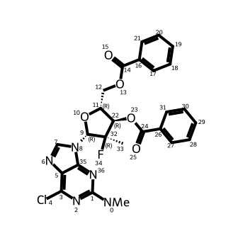 CNc1nc(Cl)c2ncn([C@@H]3O[C@H](COC(=O)c4ccccc4)[C@@H](OC(=O)c4ccccc4)[C@@]3(C)F)c2n1